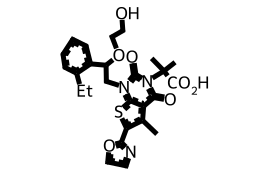 CCc1ccccc1C(Cn1c(=O)n(C(C)(C)C(=O)O)c(=O)c2c(C)c(-c3ncco3)sc21)OCCO